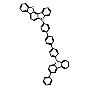 c1ccc(-c2ccc3c(c2)c2ccccc2n3-c2ccc(-c3ccc(-c4ccc(-n5c6ccccc6c6c7oc8ccccc8c7ccc65)cc4)cc3)cc2)cc1